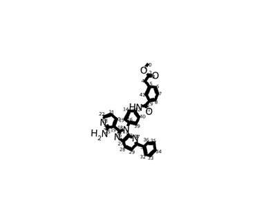 COC(=O)Cc1cccc(C(=O)Nc2ccc(-n3c(-c4cccnc4N)nc4ccc(-c5ccccc5)nc43)cc2)c1